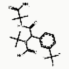 CC(C)(NC(=O)C(c1cccc(C(F)(F)F)c1)N(C(=O)O)C(C)(C)C)C(N)=O